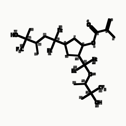 C=C(C)C(=O)OC1CC(C(CC)(CC)CC(C)C(C)(O)C(F)(F)F)CC1C(CC)(CC)OC(C)C(C)(O)C(F)(F)F